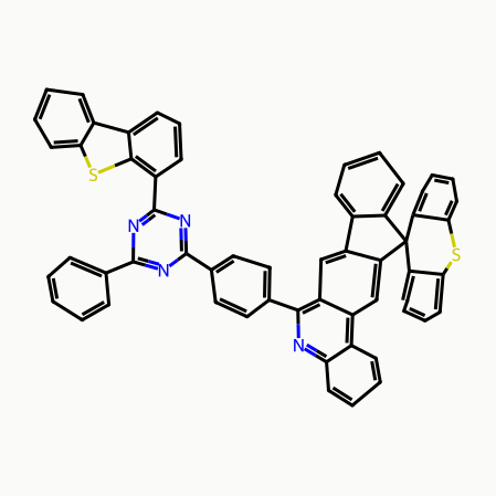 c1ccc(-c2nc(-c3ccc(-c4nc5ccccc5c5cc6c(cc45)-c4ccccc4C64c5ccccc5Sc5ccccc54)cc3)nc(-c3cccc4c3sc3ccccc34)n2)cc1